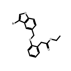 CCOC(=O)Cc1ccccc1OCc1ccc2occ(Br)c2c1